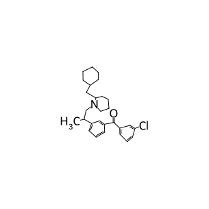 CC(CN1CCCCC1CC1CCCCC1)c1cccc(C(=O)c2cccc(Cl)c2)c1